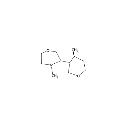 C[C@H]1CCOCC1C1COCCN1C